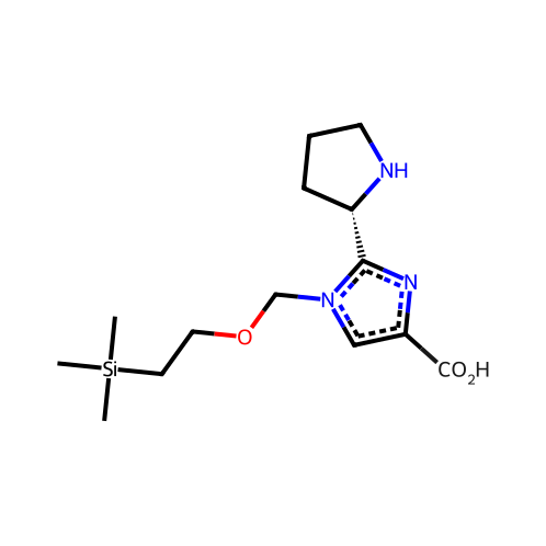 C[Si](C)(C)CCOCn1cc(C(=O)O)nc1[C@@H]1CCCN1